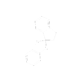 NC1(Nc2ccccc2)CCc2ccccc21